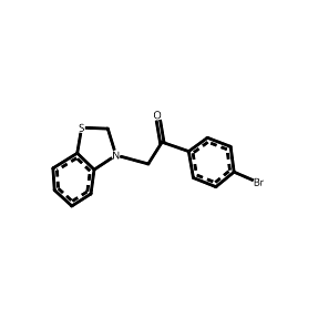 O=C(CN1CSc2ccccc21)c1ccc(Br)cc1